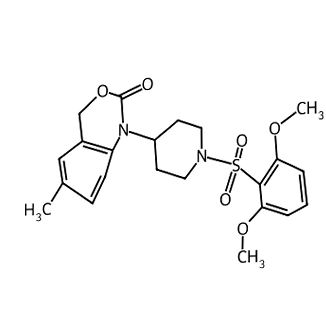 COc1cccc(OC)c1S(=O)(=O)N1CCC(N2C(=O)OCc3cc(C)ccc32)CC1